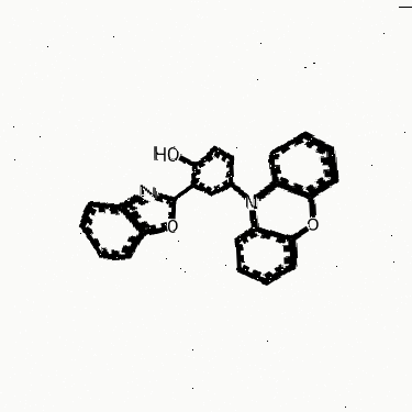 Oc1ccc(N2c3ccccc3Oc3ccccc32)cc1-c1nc2ccccc2o1